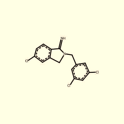 N=C1c2ccc(Cl)cc2CN1Cc1cc(Cl)cc(Cl)c1